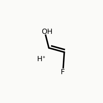 OC=CF.[H+]